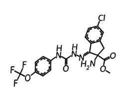 COC(=O)C1(N)Cc2cc(Cl)ccc2C1=NNC(=O)Nc1ccc(OC(F)(F)F)cc1